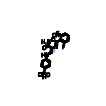 CO/C(=N\C(=C\Nc1ccc([SH](=O)=O)cc1)C(N)=O)c1c(F)cccc1F